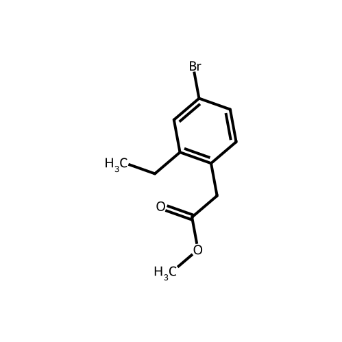 CCc1cc(Br)ccc1CC(=O)OC